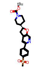 CC(C)(C)OC(=O)N1CCC([C@@H]2Cc3cc(-c4ccc(S(C)(=O)=O)cc4)ncc3O2)CC1